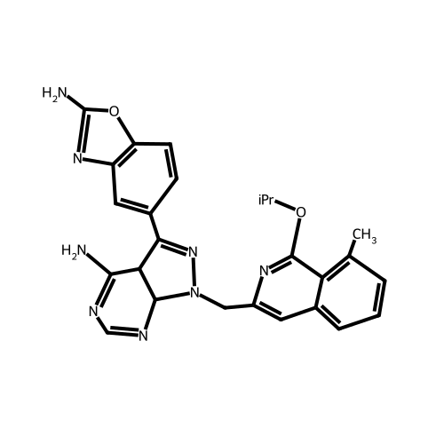 Cc1cccc2cc(CN3N=C(c4ccc5oc(N)nc5c4)C4C(N)=NC=NC43)nc(OC(C)C)c12